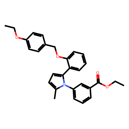 CCOC(=O)c1cccc(-n2c(C)ccc2-c2ccccc2OCc2ccc(OCC)cc2)c1